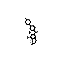 CC1CCC(C2CCC(C(C)c3cc4c(c(F)c3F)OC(C)CC4)CC2)CC1